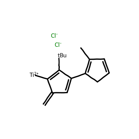 C=C1C=C(C2=C(C)C=CC2)C(C(C)(C)C)=[C]1[Ti+2].[Cl-].[Cl-]